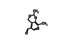 Cc1ncc(C=O)c2c1OC(C)OC2